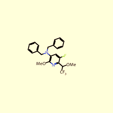 COc1nc(C(OC)C(F)(F)F)c(F)cc1N(Cc1ccccc1)Cc1ccccc1